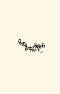 CCCN(CCC)C(=O)C1=Cc2ccc(C(=O)N3CCCC(Nc4ccccc4)C3)cc2N=C(N)C1